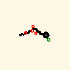 CCCOCCOC(=O)CC(=O)C=Cc1cccc(Cl)c1